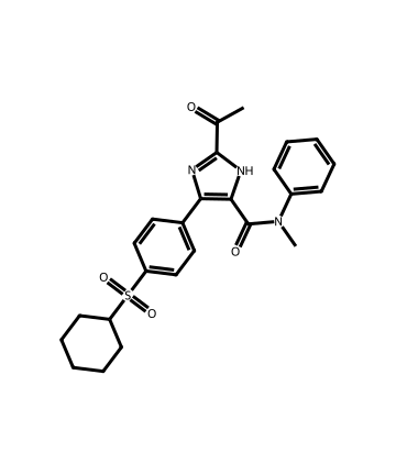 CC(=O)c1nc(-c2ccc(S(=O)(=O)C3CCCCC3)cc2)c(C(=O)N(C)c2ccccc2)[nH]1